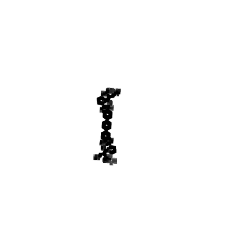 CC(C)C[C@H](NC(=O)O)C(=O)N1CCC[C@H]1c1nc2cc(-c3ccc(-c4ccc5[nH]c([C@@H]6CCCN6C(=O)[C@H](CC(C)C)NC(=O)O)nc5c4)cc3)ccc2[nH]1